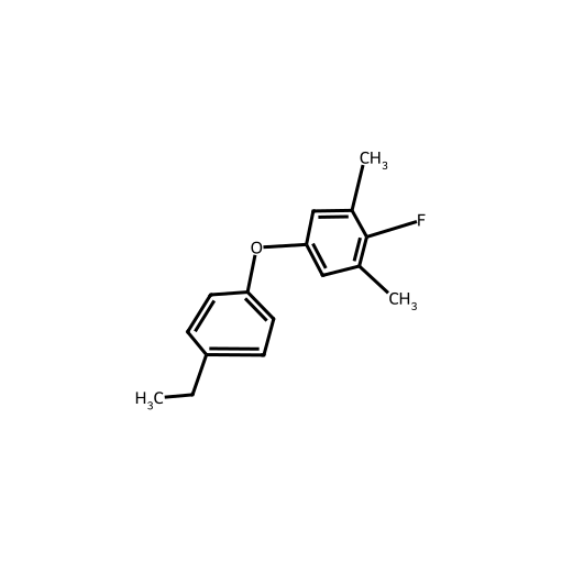 CCc1ccc(Oc2cc(C)c(F)c(C)c2)cc1